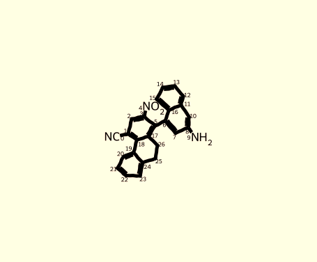 N#Cc1cc([N+](=O)[O-])c(-c2cc(N)cc3ccccc23)c2c1-c1ccccc1CC2